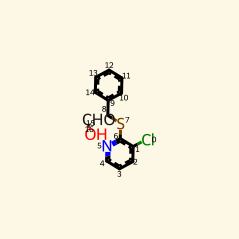 Clc1cccnc1SCc1ccccc1.O=CO